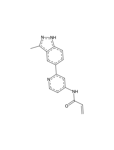 C=CC(=O)Nc1ccnc(-c2ccc3[nH]nc(C)c3c2)c1